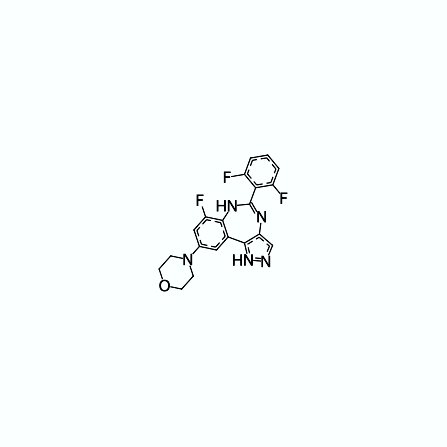 Fc1cc(N2CCOCC2)cc2c1NC(c1c(F)cccc1F)=Nc1cn[nH]c1-2